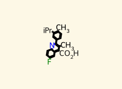 Cc1ccc(-c2nc3ccc(F)cc3c(C(=O)O)c2C)cc1C(C)C